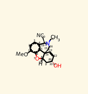 COc1ccc2c3c1O[C@H]1C[C@@H](O)C=C[C@@]31CCN(C)[C@@H]2C#N